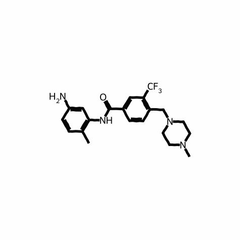 Cc1ccc(N)cc1NC(=O)c1ccc(CN2CCN(C)CC2)c(C(F)(F)F)c1